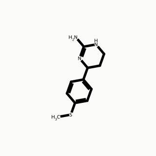 CSc1ccc(C2CCNC(N)=N2)cc1